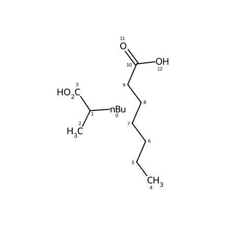 CCCCC(C)C(=O)O.CCCCCCC(=O)O